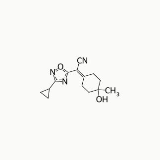 CC1(O)CCC(=C(C#N)c2nc(C3CC3)no2)CC1